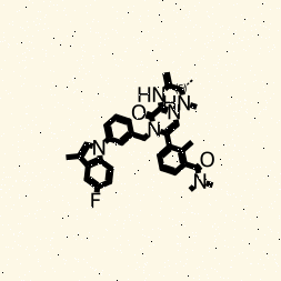 C=C(Nc1ncc(-c2cccc(C(=O)N(C)C)c2C)n(Cc2cccc(-n3cc(C)c4cc(F)ccc43)c2)c1=O)[C@H](C)NC